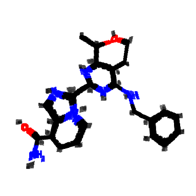 CC1OCCc2c(NCc3ccccc3)nc(-c3ncc4c(C(N)=O)cccn34)nc21